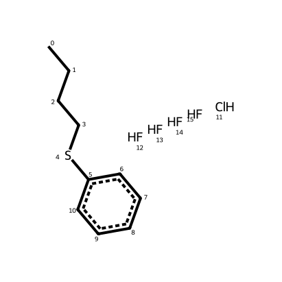 CCCCSc1ccccc1.Cl.F.F.F.F